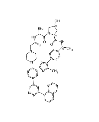 Cc1ncsc1-c1ccc([C@H](C)NC(=O)[C@@H]2C[C@@H](O)CN2C(=O)C(NC(=O)CN2CCN(c3ccc(-c4cnnc(-c5cccc6cccnc56)c4)cc3)CC2)C(C)(C)C)cc1